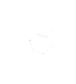 CC1=CCC(C)(C(F)(F)F)C=C1Cl